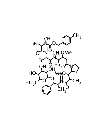 CCC(C)C(C(CC(=O)N1CCCC1C(OC)C(C)C(=O)NC(C)C(OC1OC(C(=O)O)C(O)C(O)C1O)c1ccccc1)OC)N(C)C(=O)C(NC(=O)C(C(C)C)N(C)C(=O)OCc1ccc(C)cc1)C(C)C